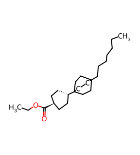 CCCCCCCC12CCC([C@H]3CC[C@H](C(=O)OCC)CC3)(CC1)CC2